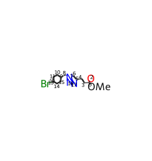 COC(=O)/C=C/c1cn(Cc2ccc(Br)cc2)nn1